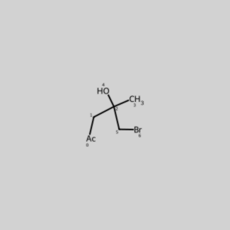 CC(=O)CC(C)(O)CBr